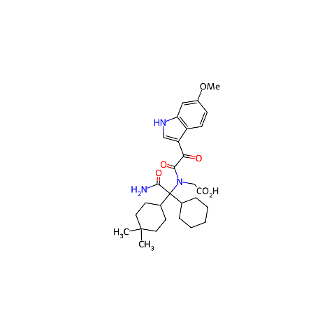 COc1ccc2c(C(=O)C(=O)N(CC(=O)O)C(C(N)=O)(C3CCCCC3)C3CCC(C)(C)CC3)c[nH]c2c1